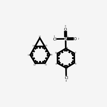 O=S(=O)(Cl)c1ccc(Cl)cc1.c1ccc2c(c1)C2